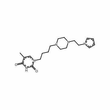 Cc1cn(CCCCN2CCN(CCn3cccc3)CC2)c(=O)[nH]c1=O